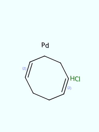 C1=C\CC/C=C\CC/1.Cl.[Pd]